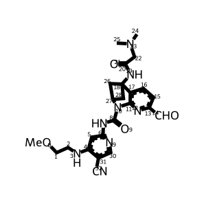 COCCNc1cc(NC(=O)N2c3nc(C=O)ccc3C3(NC(=O)CN(C)C)CC2C3)ncc1C#N